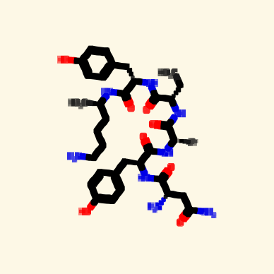 CC(C)[C@H](NC(=O)[C@H](Cc1ccc(O)cc1)NC(=O)[C@@H](N)CC(N)=O)C(=O)N[C@@H](CC(=O)O)C(=O)N[C@@H](Cc1ccc(O)cc1)C(=O)N[C@@H](CCCCN)C(=O)O